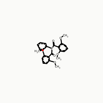 COc1cccc(OC)c1C(=O)P(C(=O)c1c(OC)cccc1OC)c1ccccc1